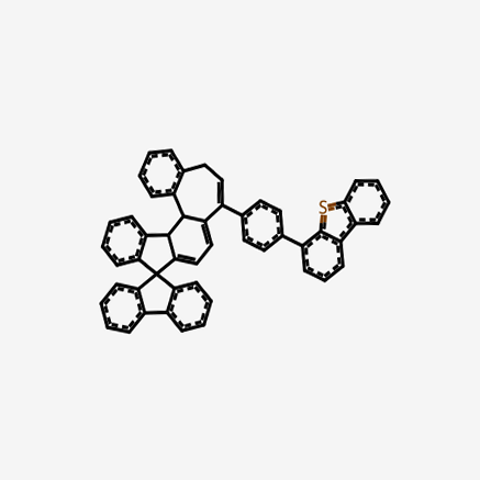 C1=C(c2ccc(-c3cccc4c3sc3ccccc34)cc2)C2=CC=C3C(c4ccccc4C34c3ccccc3-c3ccccc34)C2c2ccccc2C1